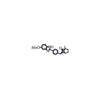 COc1ccc2[nH]c(-c3ccc(/C=C4\C(=O)C5(C)CCC4C5(C)C)cc3)nc2c1